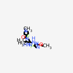 CCOc1ncc(F)c(Nc2n[nH]c3c2CN(C(=O)C2(F)CCN(C)CC2)C3(C)C)n1